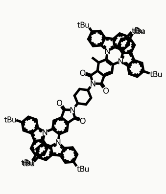 CC1C(n2c3ccc(C(C)(C)C)cc3c3cc(C(C)(C)C)ccc32)=C(n2c3ccc(C(C)(C)C)cc3c3cc(C(C)(C)C)ccc32)C=C2C(=O)N(C3CCC(N4C(=O)c5cc(-n6c7ccc(C(C)(C)C)cc7c7cc(C(C)(C)C)ccc76)c(-n6c7ccc(C(C)(C)C)cc7c7cc(C(C)(C)C)ccc76)cc5C4=O)CC3)C(=O)C21